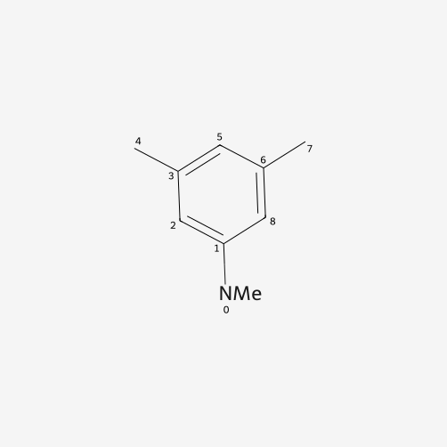 CNc1cc(C)cc(C)c1